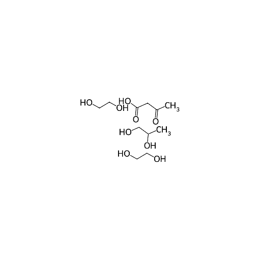 CC(=O)CC(=O)O.CC(O)CO.OCCO.OCCO